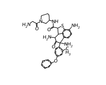 Cc1cc(Oc2ccccc2)ccc1C1(N)C(=O)C(N)C2c3c1ccc(N)c3SC2C(=O)NC1CCCN(C(=O)CN)C1